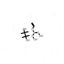 C=COB(OO)OO.CC(C)(O)C(C)(C)O